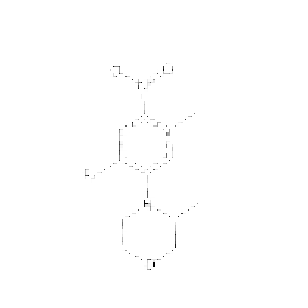 Cc1cc(N2CCOCC2C)c(Br)cc1[N+](=O)[O-]